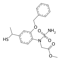 COC(=O)CN(c1ccc(C(C)S)cc1OCc1ccccc1)S(N)(=O)=O